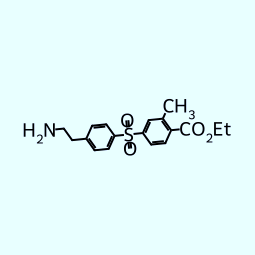 CCOC(=O)c1ccc(S(=O)(=O)c2ccc(CCN)cc2)cc1C